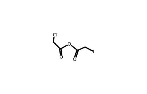 O=C(CCl)OC(=O)CI